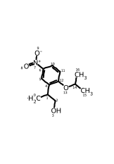 [CH2]C(CO)c1cc([N+](=O)[O-])ccc1OC(C)C